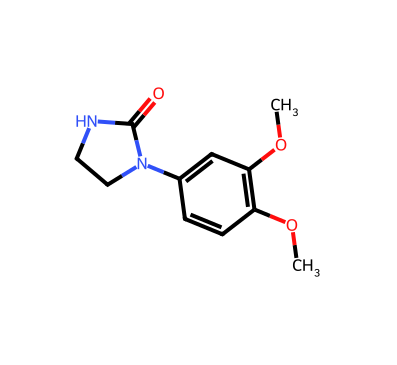 COc1ccc(N2CCNC2=O)cc1OC